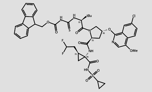 COc1cnc(O[C@@H]2C[C@@H](C(=O)N[C@]3(C(=O)NS(=O)(=O)C4CC4)C[C@H]3CC(F)F)N(C(=O)[C@@H](NC(=S)NC(=O)OCC3c4ccccc4-c4ccccc43)C(C)(C)C)C2)c2cc(Cl)ccc12